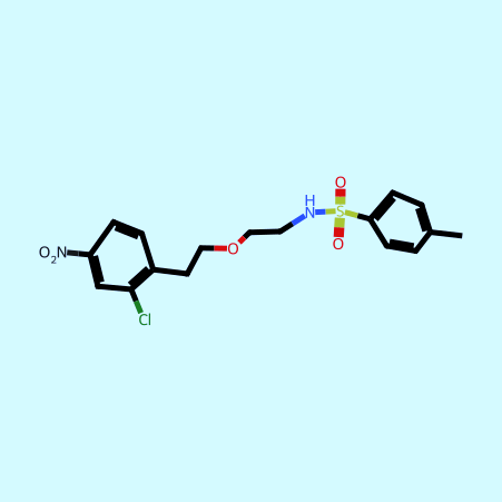 Cc1ccc(S(=O)(=O)NCCOCCc2ccc([N+](=O)[O-])cc2Cl)cc1